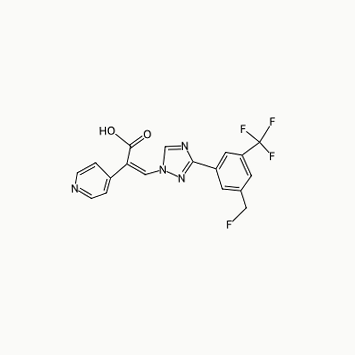 O=C(O)/C(=C\n1cnc(-c2cc(CF)cc(C(F)(F)F)c2)n1)c1ccncc1